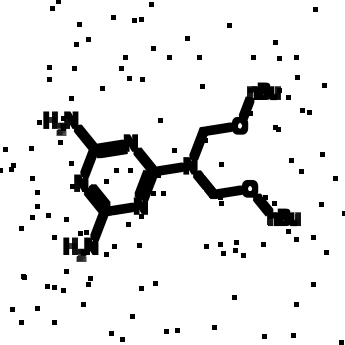 CCCCOCN(COCCCC)c1nc(N)nc(N)n1